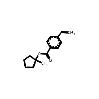 C=Cc1ccc(C(=O)OC2(C)CCCC2)cc1